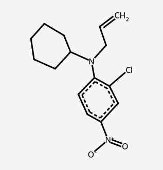 C=CCN(c1ccc([N+](=O)[O-])cc1Cl)C1CCCCC1